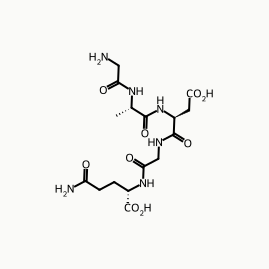 C[C@H](NC(=O)CN)C(=O)N[C@@H](CC(=O)O)C(=O)NCC(=O)N[C@@H](CCC(N)=O)C(=O)O